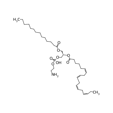 CC/C=C\C/C=C\C/C=C\C/C=C\CCCCC(=O)O[C@H](COC(=O)CCCCCCCCCCCCC)COP(=O)(O)OCCN